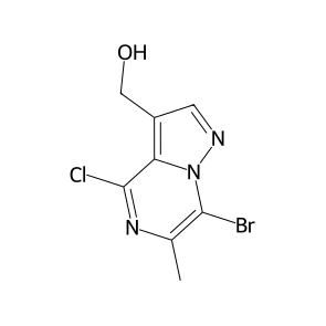 Cc1nc(Cl)c2c(CO)cnn2c1Br